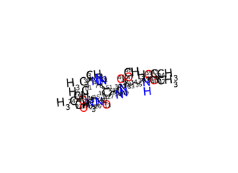 CCC(C)[C@@H](C)n1cc(-c2cc(C(=O)N3CCN(C(=O)OC(C)(C)C)CC3)cc(-c3cn([C@@H](CCCCNC(=O)OC(C)(C)C)C(=O)OC)nn3)c2)nn1